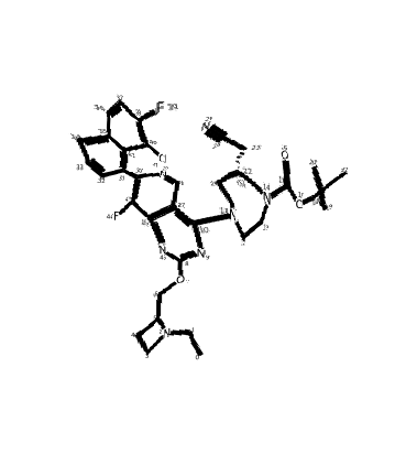 CCN1CCC1COc1nc(N2CCN(C(=O)OC(C)(C)C)[C@@H](CC#N)C2)c2cnc(-c3cccc4ccc(F)c(Cl)c34)c(F)c2n1